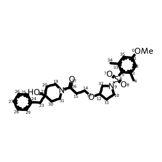 COc1cc(C)c(S(=O)(=O)N2CCC(OCCC(=O)N3CCC(O)(Cc4ccccc4)CC3)C2)c(C)c1